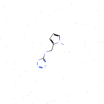 Cn1cccc1CNc1nnn[nH]1